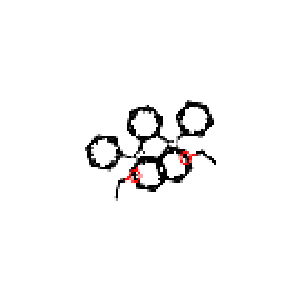 CCO[Si](c1ccccc1)(c1ccccc1)c1ccccc1[Si](OCC)(c1ccccc1)c1ccccc1